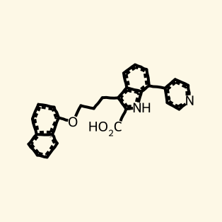 O=C(O)c1[nH]c2c(-c3ccncc3)cccc2c1CCCOc1cccc2ccccc12